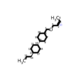 C/C=C\COCC1CCC([C@H]2CC[C@H](CCC)CC2)CC1